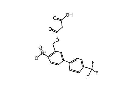 O=C(O)CC(=O)OCc1cc(-c2ccc(C(F)(F)F)cc2)ccc1[N+](=O)[O-]